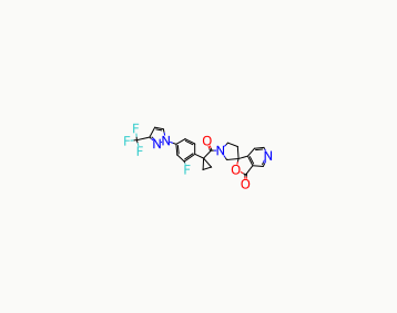 O=C1OC2(CCN(C(=O)C3(c4ccc(-n5ccc(C(F)(F)F)n5)cc4F)CC3)C2)c2ccncc21